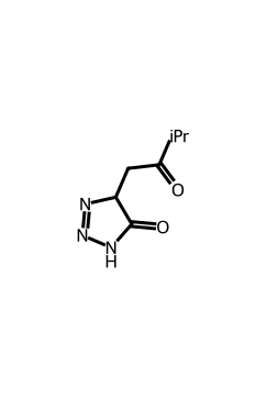 CC(C)C(=O)CC1N=NNC1=O